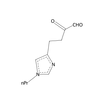 CCCn1cnc(CCC(=O)C=O)c1